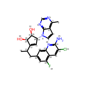 Cc1ncnc2c1ccn2[C@@H]1C=C(C(C)Cc2cc(F)c3cc(Cl)c(N)nc3c2)[C@@H](O)[C@H]1O